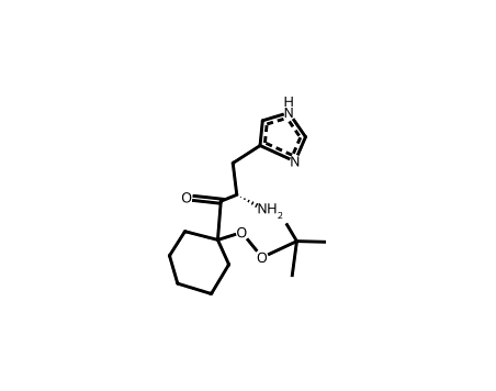 CC(C)(C)OOC1(C(=O)[C@@H](N)Cc2c[nH]cn2)CCCCC1